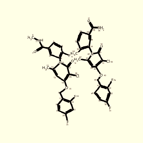 CNC(=O)c1ccc(F)c(-n2c(C)cc(OCc3ccc(F)cc3F)c(Cl)c2=O)c1.Cc1ccc(C(N)=O)cc1-n1c(C)cc(OCc2ccc(F)cc2F)c(Cl)c1=O